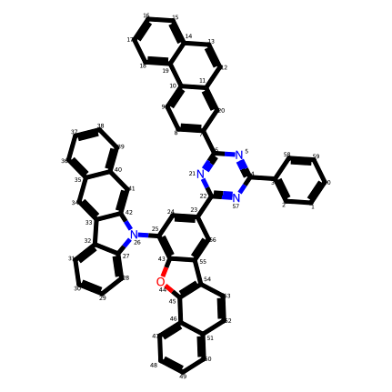 c1ccc(-c2nc(-c3ccc4c(ccc5ccccc54)c3)nc(-c3cc(-n4c5ccccc5c5cc6ccccc6cc54)c4oc5c6ccccc6ccc5c4c3)n2)cc1